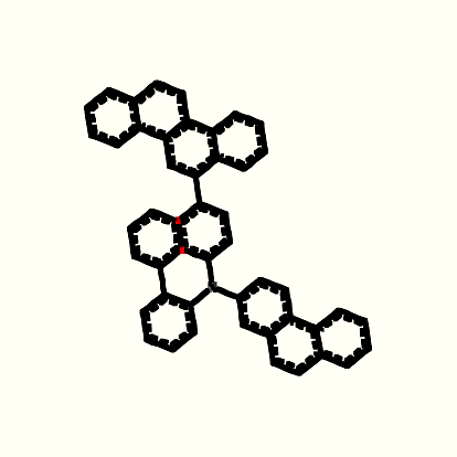 c1ccc(-c2ccccc2N(c2ccc(-c3cc4c5ccccc5ccc4c4ccccc34)cc2)c2ccc3c(ccc4ccccc43)c2)cc1